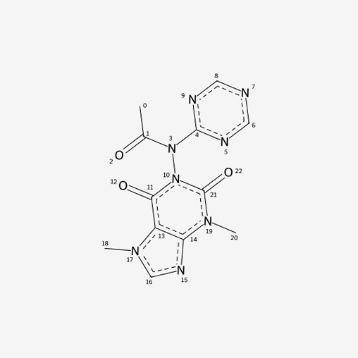 CC(=O)N(c1ncncn1)n1c(=O)c2c(ncn2C)n(C)c1=O